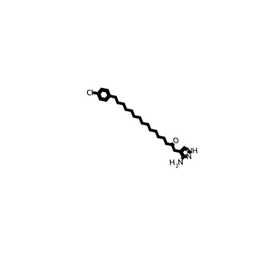 Nc1n[nH]cc1CC(=O)CCCCCCCCCCCCCCc1ccc(Cl)cc1